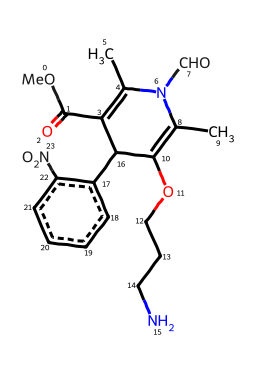 COC(=O)C1=C(C)N(C=O)C(C)=C(OCCCN)C1c1ccccc1[N+](=O)[O-]